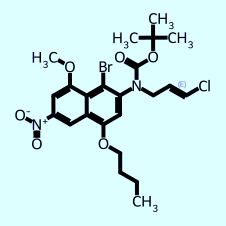 CCCCOc1cc(N(C/C=C/Cl)C(=O)OC(C)(C)C)c(Br)c2c(OC)cc([N+](=O)[O-])cc12